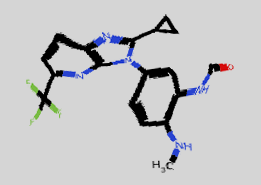 CNc1ccc(-n2c(C3CC3)nc3ccc(C(F)(F)F)nc32)cc1NC=O